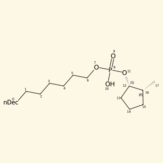 CCCCCCCCCCCCCCCCOP(=O)(O)O[C@H]1CCC[C@H]1C